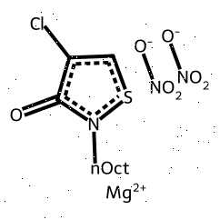 CCCCCCCCn1scc(Cl)c1=O.O=[N+]([O-])[O-].O=[N+]([O-])[O-].[Mg+2]